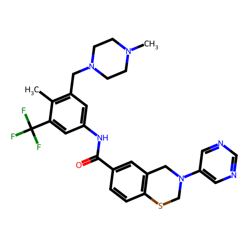 Cc1c(CN2CCN(C)CC2)cc(NC(=O)c2ccc3c(c2)CN(c2cncnc2)CS3)cc1C(F)(F)F